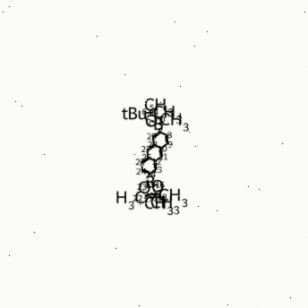 CB(OC(C)(C)C(C)(C)C)c1ccc2cc3cc(B4OC(C)(C)C(C)(C)O4)ccc3cc2c1